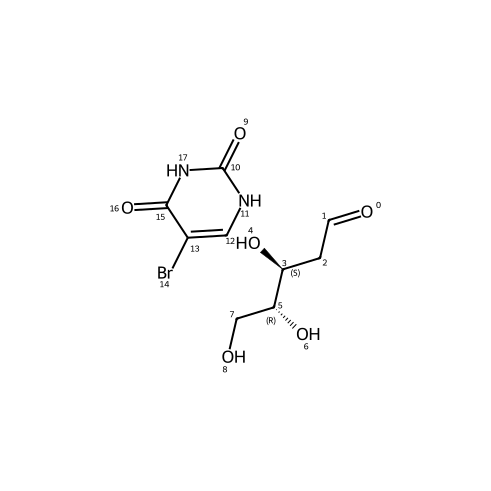 O=CC[C@H](O)[C@H](O)CO.O=c1[nH]cc(Br)c(=O)[nH]1